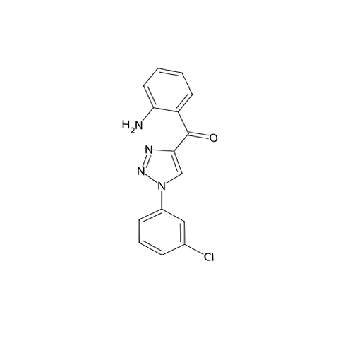 Nc1ccccc1C(=O)c1cn(-c2cccc(Cl)c2)nn1